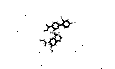 CCC(C)c1ccc(-c2ccc(F)cc2F)cc1Nc1ncnc2cc(OC)c(C(C)CC)cc12